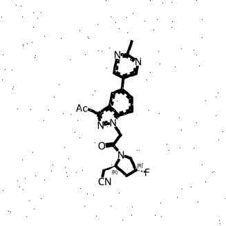 CC(=O)c1nn(CC(=O)N2C[C@H](F)C[C@H]2CC#N)c2ccc(-c3cnc(C)nc3)cc12